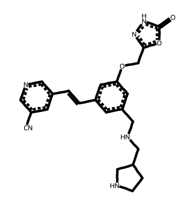 N#Cc1cncc(C=Cc2cc(CNCC3CCNC3)cc(OCc3n[nH]c(=O)o3)c2)c1